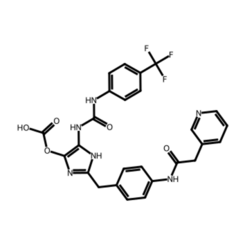 O=C(Cc1cccnc1)Nc1ccc(Cc2nc(OC(=O)O)c(NC(=O)Nc3ccc(C(F)(F)F)cc3)[nH]2)cc1